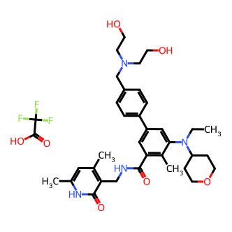 CCN(c1cc(-c2ccc(CN(CCO)CCO)cc2)cc(C(=O)NCc2c(C)cc(C)[nH]c2=O)c1C)C1CCOCC1.O=C(O)C(F)(F)F